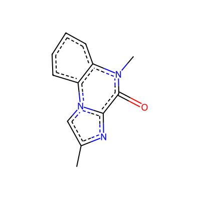 Cc1cn2c(n1)c(=O)n(C)c1ccccc12